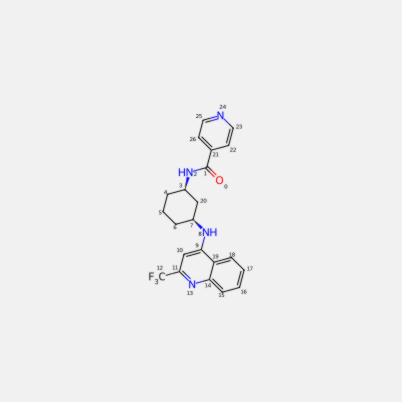 O=C(N[C@@H]1CCC[C@H](Nc2cc(C(F)(F)F)nc3ccccc23)C1)c1ccncc1